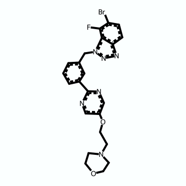 Fc1c(Br)ccc2nnn(Cc3cccc(-c4ncc(OCCN5CCOCC5)cn4)c3)c12